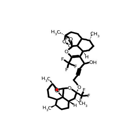 C[C@@H]1CC[C@H]2C(C(O)C#CCO[C@@]3(C(F)(F)F)O[C@@H]4O[C@]5(C)CCC6[C@H](C)CC[C@@H]([C@H]3C)[C@]64OO5)=C(C(F)(F)F)O[C@@H]3O[C@]4(C)CCC1[C@]32OO4